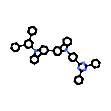 c1ccc(-c2cc(-c3ccccc3)cc(-n3c4ccccc4c4cc(-c5ccc6c(c5)c5ccccc5n6-c5ccc(-c6nc(-c7ccccc7)nc(-c7ccccc7)n6)cc5)ccc43)c2)cc1